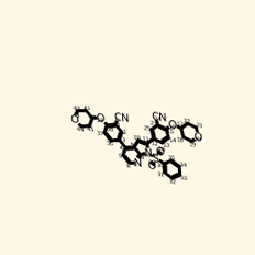 N#Cc1cc(-c2ccnc3c2cc(-c2ccc(OC4CCOCC4)c(C#N)c2)n3S(=O)(=O)c2ccccc2)ccc1OC1CCOCC1